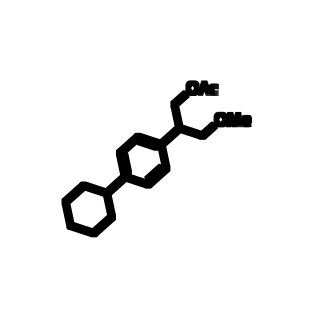 COCC(COC(C)=O)c1ccc(C2CCCCC2)cc1